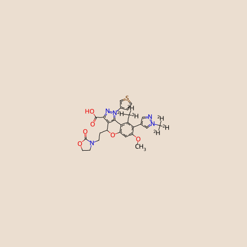 [2H]C([2H])([2H])c1c(-c2cnn(C([2H])([2H])[2H])c2)c(OC)cc2c1-c1c(c(C(=O)O)nn1-c1ccsc1)C(CCN1CCOC1=O)O2